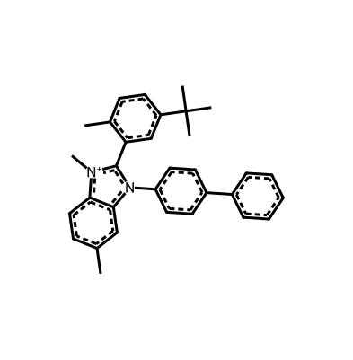 Cc1ccc2c(c1)n(-c1ccc(-c3ccccc3)cc1)c(-c1cc(C(C)(C)C)ccc1C)[n+]2C